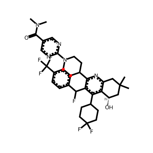 CN(C)C(=O)c1cnc(N2CCC(c3nc4c(c(C5CCC(F)(F)CC5)c3C(F)c3ccc(C(F)(F)F)cc3)[C@@H](O)CC(C)(C)C4)CC2)nc1